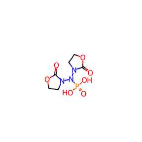 O=C1OCCN1N(N1CCOC1=O)P(=O)(O)O